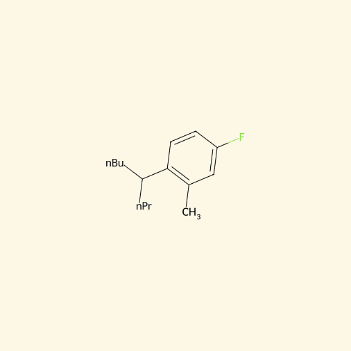 CCCCC(CCC)c1ccc(F)cc1C